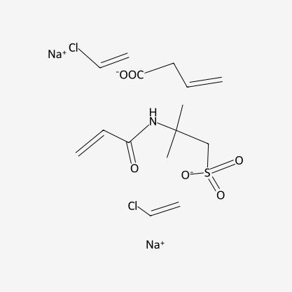 C=CC(=O)NC(C)(C)CS(=O)(=O)[O-].C=CCC(=O)[O-].C=CCl.C=CCl.[Na+].[Na+]